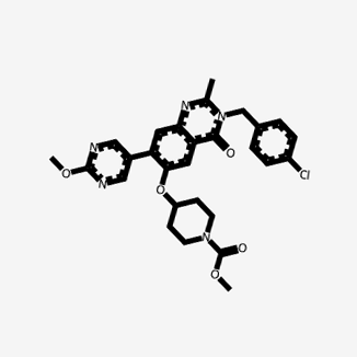 COC(=O)N1CCC(Oc2cc3c(=O)n(Cc4ccc(Cl)cc4)c(C)nc3cc2-c2cnc(OC)nc2)CC1